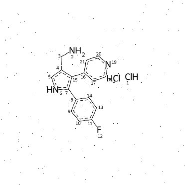 Cl.Cl.NCc1c[nH]c(-c2ccc(F)cc2)c1-c1ccncc1